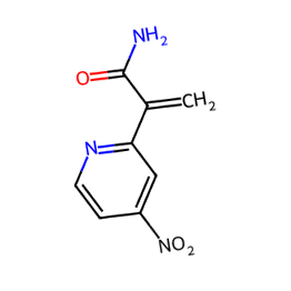 C=C(C(N)=O)c1cc([N+](=O)[O-])ccn1